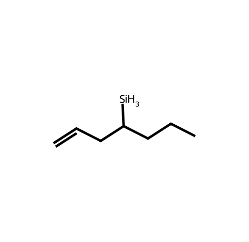 C=CCC([SiH3])CCC